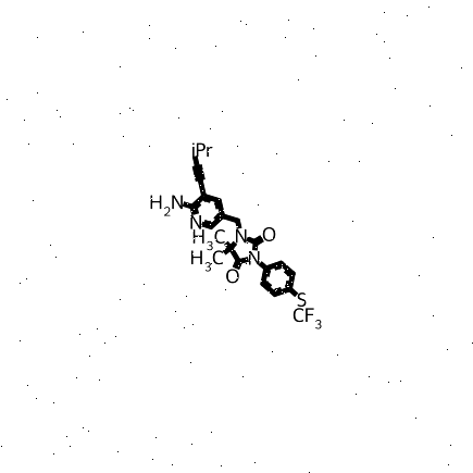 CC(C)C#Cc1cc(CN2C(=O)N(c3ccc(SC(F)(F)F)cc3)C(=O)C2(C)C)cnc1N